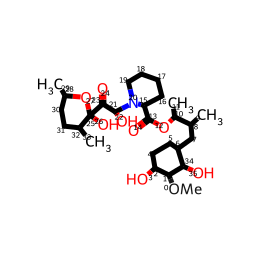 COC1C(O)CCC(CC(C)C(C)OC(=O)C2CCCCN2C(O)C(=O)C2(O)OC(C)CCC2C)C1O